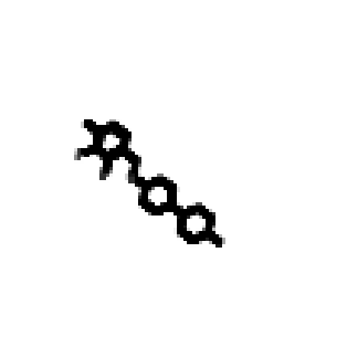 Cc1ccc(COC2CCC(C3CCC(C)CC3)CC2)c(F)c1F